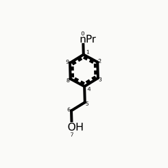 [CH2]CCc1ccc(CCO)cc1